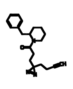 C#CCCC1(CCC(=O)N2CCCCC2Cc2ccccc2)N=N1